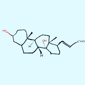 C[C@]12CCC(O)CC1CC[C@@H]1[C@@H]2CC[C@]2(C)[C@@H](/C=C/C=O)CC[C@@]12O